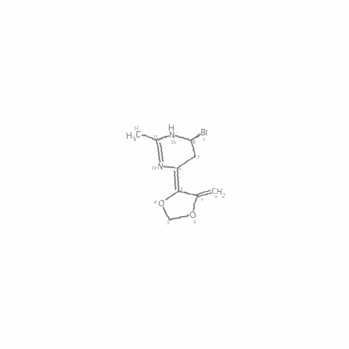 C=C1OCO/C1=C1/CC(Br)NC(C)=N1